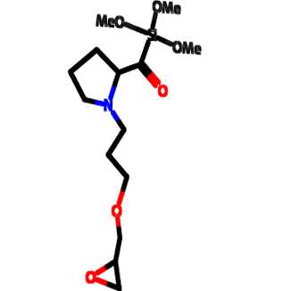 CO[Si](OC)(OC)C(=O)C1CCCN1CCCOCC1CO1